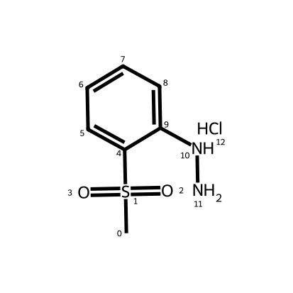 CS(=O)(=O)c1ccccc1NN.Cl